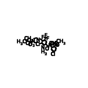 CCS(=O)(=O)c1ccc(Cl)cc1N(C)C(=O)c1cc(C(F)(F)F)c(CN2CCN(C(=O)OC(C)(C)C)CC2)c(Cl)c1N